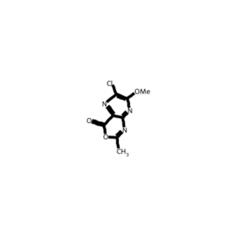 COc1nc2nc(C)oc(=O)c2nc1Cl